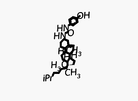 CC(C)CCC[C@@H](C)[C@H]1CC[C@H]2[C@@H]3CC=C4C[C@@H](NC(=O)Nc5ccc(O)cc5)CC[C@]4(C)[C@H]3CC[C@]12C